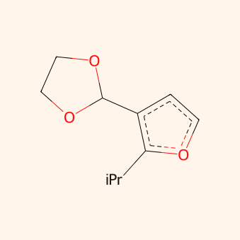 CC(C)c1occc1C1OCCO1